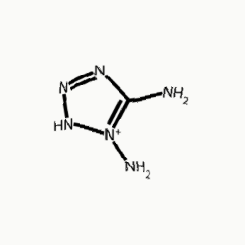 Nc1nn[nH][n+]1N